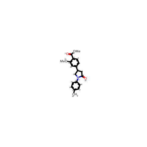 COC(=O)c1ccc(C2CC(=O)N(c3ccc(C)cc3)C2)cc1OC